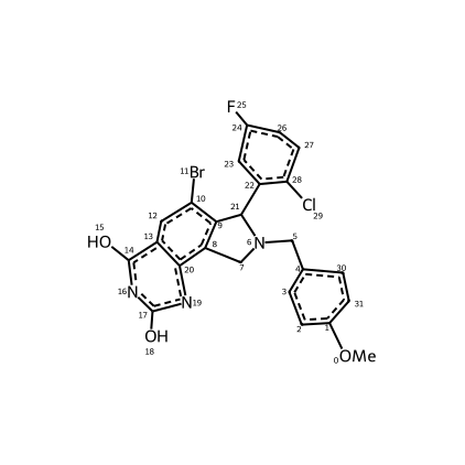 COc1ccc(CN2Cc3c(c(Br)cc4c(O)nc(O)nc34)C2c2cc(F)ccc2Cl)cc1